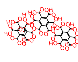 O=C(O)c1c(C(=O)O)c(C(=O)O)c(C(=O)OC(=O)c2c(C(=O)O)c(C(=O)O)c(C(=O)O)c(C(=O)OCC3CO3)c2C(=O)OC(=O)c2c(C(=O)O)c(C(=O)O)c(C(=O)O)c(C(=O)O)c2C(=O)O)c(C(=O)O)c1C(=O)O